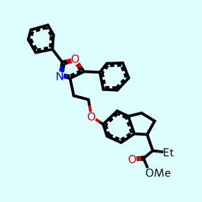 CCC(C(=O)OC)C1CCc2cc(OCCc3nc(-c4ccccc4)oc3-c3ccccc3)ccc21